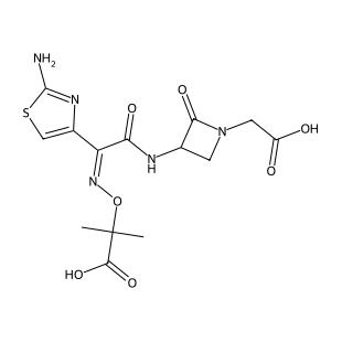 CC(C)(O/N=C(\C(=O)NC1CN(CC(=O)O)C1=O)c1csc(N)n1)C(=O)O